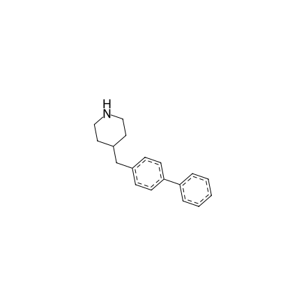 c1ccc(-c2ccc(CC3CCNCC3)cc2)cc1